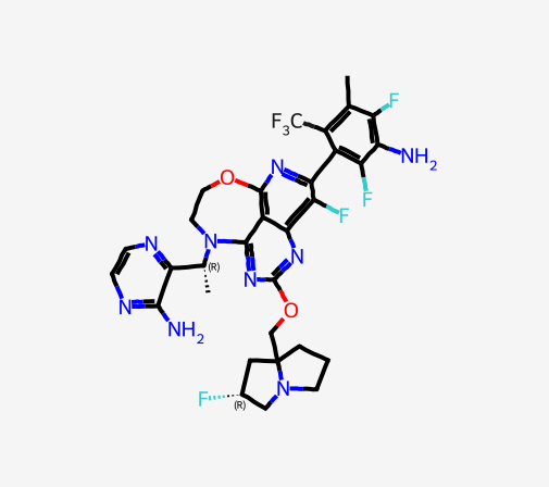 Cc1c(F)c(N)c(F)c(-c2nc3c4c(nc(OCC56CCCN5C[C@H](F)C6)nc4c2F)N([C@H](C)c2nccnc2N)CCO3)c1C(F)(F)F